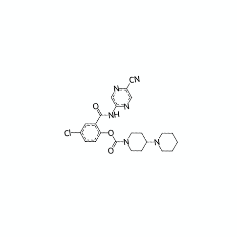 N#Cc1cnc(NC(=O)c2cc(Cl)ccc2OC(=O)N2CCC(N3CCCCC3)CC2)cn1